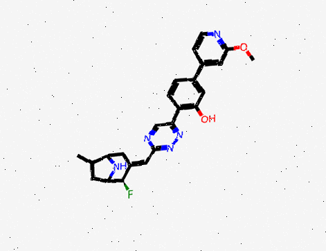 COc1cc(-c2ccc(-c3cnc(/C=C4\CC5NC(CC5C)[C@@H]4F)nn3)c(O)c2)ccn1